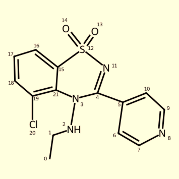 CCNN1C(c2ccncc2)=NS(=O)(=O)c2cccc(Cl)c21